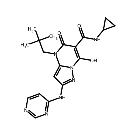 CC(C)(C)Cn1c(=O)c(C(=O)NC2CC2)c(O)n2nc(Nc3ccncn3)cc12